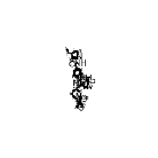 CCc1ccnc(NC(=O)c2ccc(C3=NC([C@@H]4CCCN(C(=O)C5(C)COC5)C4)=C4C=NC=C[N+]34N)cc2)c1